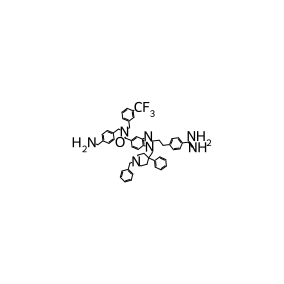 N=C(N)c1ccc(CCc2nc3cc(C(=O)N(Cc4ccc(CN)cc4)Cc4cccc(C(F)(F)F)c4)ccc3n2CC2(c3ccccc3)CCN(Cc3ccccc3)CC2)cc1